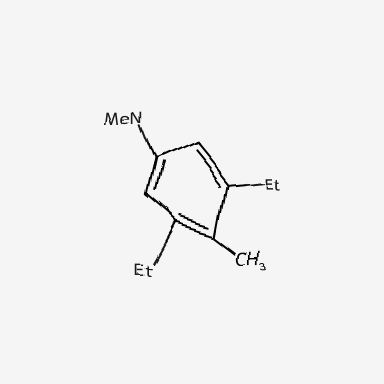 CCc1cc(NC)cc(CC)c1C